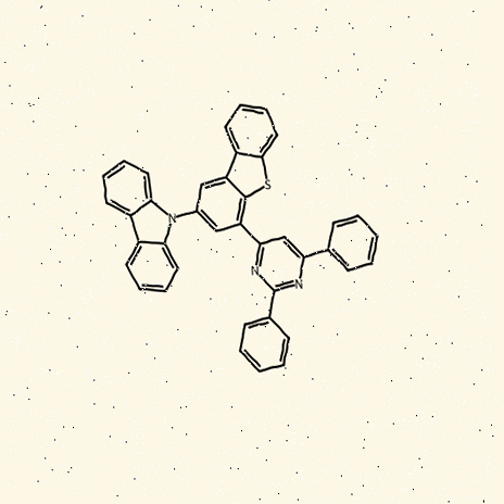 c1ccc(-c2cc(-c3cc(-n4c5ccccc5c5ccccc54)cc4c3sc3ccccc34)nc(-c3ccccc3)n2)cc1